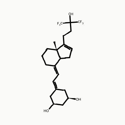 C[C@]12CCC/C(=C\C=C3\CC(O)C[C@H](O)C3)C1CC=C2CCC(O)(C(F)(F)F)C(F)(F)F